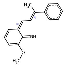 COC1=CC=C/C(=C/C=C(\C)c2ccccc2)C1=N